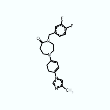 Cc1cn(C2=CC=C(N3CCC(=O)N(Cc4ccc(F)c(F)c4)CC3)CC2)cn1